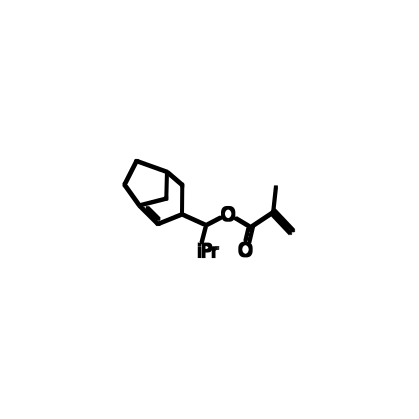 C=C(C)C(=O)OC(C(C)C)C1C=C2CCC(C2)C1